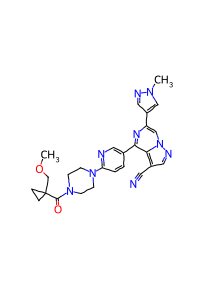 COCC1(C(=O)N2CCN(c3ccc(-c4nc(-c5cnn(C)c5)cn5ncc(C#N)c45)cn3)CC2)CC1